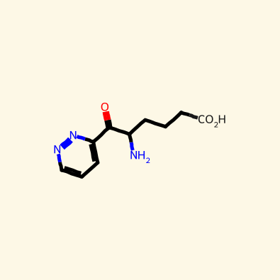 NC(CCCC(=O)O)C(=O)c1cccnn1